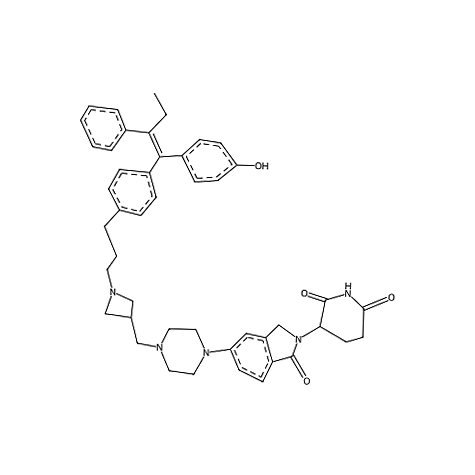 CC/C(=C(\c1ccc(O)cc1)c1ccc(CCCN2CC(CN3CCN(c4ccc5c(c4)CN(C4CCC(=O)NC4=O)C5=O)CC3)C2)cc1)c1ccccc1